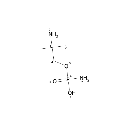 CC(C)(N)COP(N)(=O)O